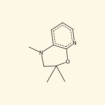 CN1CC(C)(C)Oc2n[c]ccc21